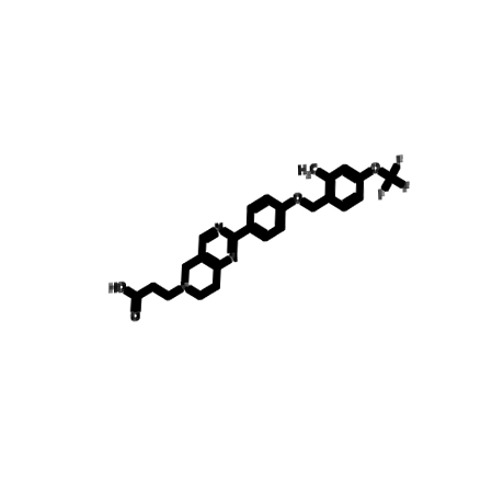 Cc1cc(OC(F)(F)F)ccc1COc1ccc(-c2ncc3c(n2)CCN(CCC(=O)O)C3)cc1